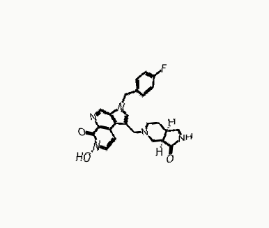 O=C1NC[C@@H]2CCN(Cc3cn(Cc4ccc(F)cc4)c4cnc5c(=O)n(O)ccc5c34)C[C@H]12